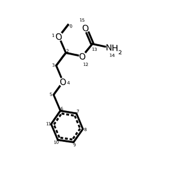 COC(COCc1ccccc1)OC(N)=O